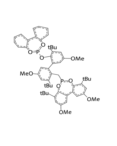 COc1cc(-c2cc(OC)cc(C(C)(C)C)c2Op2oc3ccccc3c3ccccc3o2)c(Cp2oc3c(C(C)(C)C)cc(OC)cc3c3cc(OC)cc(C(C)(C)C)c3o2)c(C(C)(C)C)c1